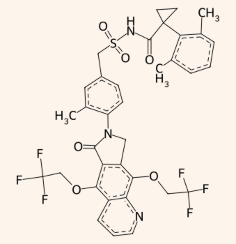 Cc1cc(CS(=O)(=O)NC(=O)C2(c3c(C)cccc3C)CC2)ccc1N1Cc2c(c(OCC(F)(F)F)c3cccnc3c2OCC(F)(F)F)C1=O